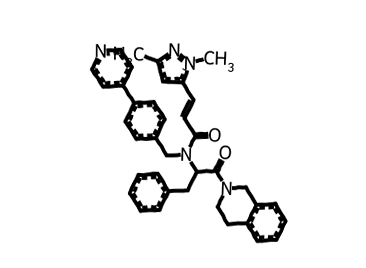 Cc1cc(C=CC(=O)N(Cc2ccc(-c3ccncc3)cc2)C(Cc2ccccc2)C(=O)N2CCc3ccccc3C2)n(C)n1